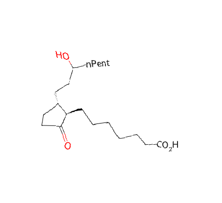 CCCCCC(O)CC[C@H]1CCC(=O)[C@@H]1CCCCCCC(=O)O